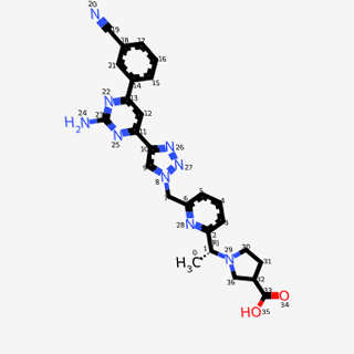 C[C@H](c1cccc(Cn2cc(-c3cc(-c4cccc(C#N)c4)nc(N)n3)nn2)n1)N1CCC(C(=O)O)C1